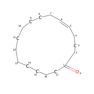 O=C1CCC/C=C\CCCCCCCCCCC1